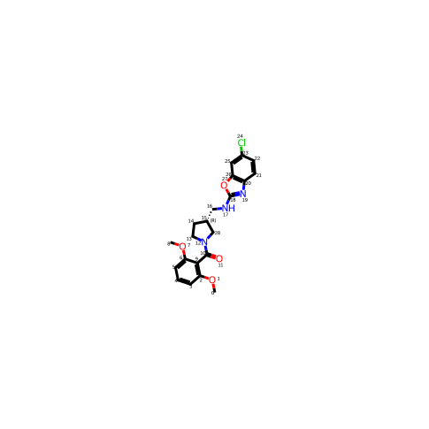 COc1cccc(OC)c1C(=O)N1CC[C@H](CNc2nc3ccc(Cl)cc3o2)C1